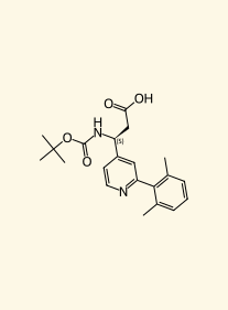 Cc1cccc(C)c1-c1cc([C@H](CC(=O)O)NC(=O)OC(C)(C)C)ccn1